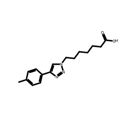 Cc1ccc(-c2cn(CCCCCCC(=O)O)nn2)cc1